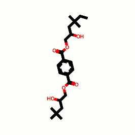 CCC(C)(C)CC(O)COC(=O)c1ccc(C(=O)OCC(O)CC(C)(C)C)cc1